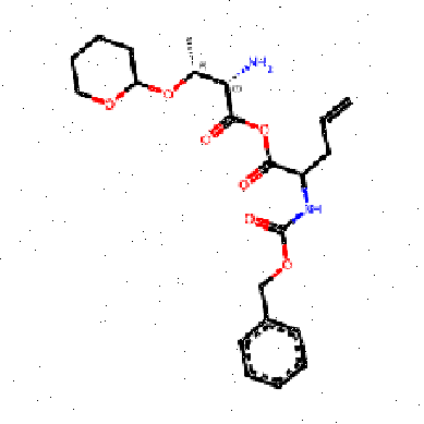 C=CCC(NC(=O)OCc1ccccc1)C(=O)OC(=O)[C@@H](N)[C@@H](C)OC1CCCCO1